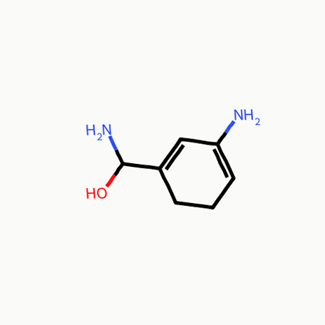 NC1=CCCC(C(N)O)=C1